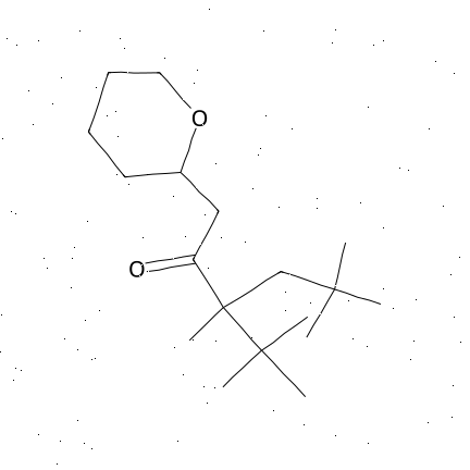 CC(C)(C)CC(C)(C(=O)CC1CCCCO1)C(C)(C)C